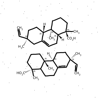 C=C[C@@]1(C)C=C2CCC3[C@](C)(C(=O)O)CCC[C@]3(C)[C@H]2CC1.C=C[C@@]1(C)CC[C@H]2C(=CC[C@@H]3[C@]2(C)CCC[C@@]3(C)C(=O)O)C1